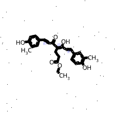 CCOC(=O)CC/C(C(=O)/C=C/c1ccc(O)c(C)c1)=C(O)\C=C\c1ccc(O)c(C)c1